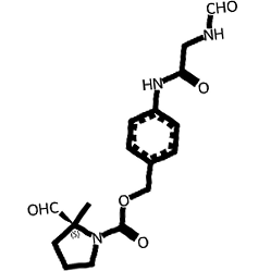 C[C@@]1(C=O)CCCN1C(=O)OCc1ccc(NC(=O)CNC=O)cc1